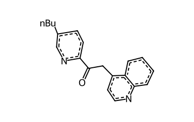 CCCCc1ccc(C(=O)Cc2ccnc3ccccc23)nc1